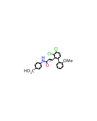 COc1ccccc1-c1c[c]c(Cl)c(Cl)c1/C=C/C(=O)Nc1ccc(C(=O)O)cc1